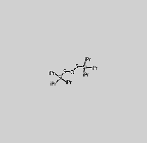 CC(C)[Si](SOS[Si](C(C)C)(C(C)C)C(C)C)(C(C)C)C(C)C